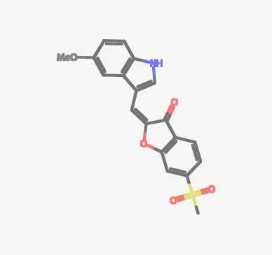 COc1ccc2[nH]cc(C=C3Oc4cc(S(C)(=O)=O)ccc4C3=O)c2c1